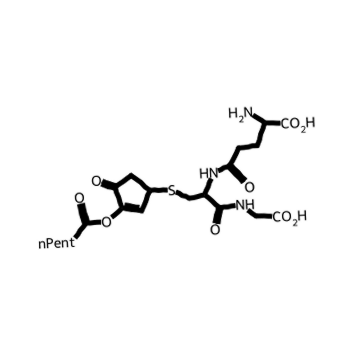 CCCCCC(=O)OC1=CC(SCC(NC(=O)CCC(N)C(=O)O)C(=O)NCC(=O)O)CC1=O